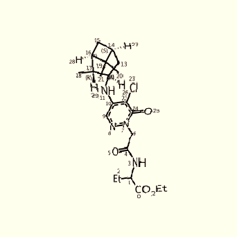 CCOC(=O)C(CC)NC(=O)Cn1ncc(N[C@@H]2C[C@@H]3C[C@H]([C@H]2C)C3(C)C)c(Cl)c1=O